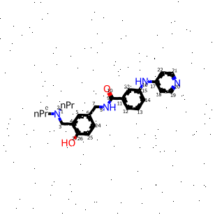 CCCN(CCC)Cc1cc(CNC(=O)c2cccc(Nc3ccncc3)c2)ccc1O